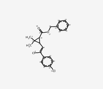 CC1(C)C(C=C(Cl)c2ccc(Cl)cc2)C1C(=O)OCc1ccccc1